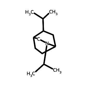 CC(C)C1CC2CCC1CN2C(C)C